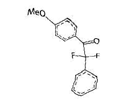 COc1ccc(C(=O)C(F)(F)c2ccccc2)cc1